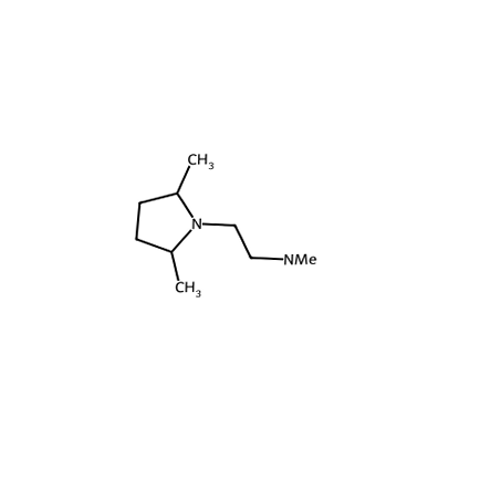 CNCCN1C(C)CCC1C